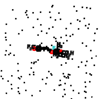 Cc1c(OC(C)(C)C(=O)O)ccc(OCCCC#Cc2ccc(OC(F)(F)F)cc2)c1F